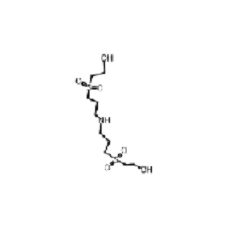 O=S(=O)(CCO)CCCNCCCS(=O)(=O)CCO